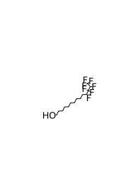 OCCCCCCCCCCC(F)C(F)(F)C(F)C(F)(F)F